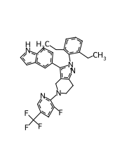 CCc1cccc(CC)c1-n1nc2c(c1-c1ccc3[nH]ccc3c1)CN(c1ncc(C(F)(F)F)cc1F)CC2